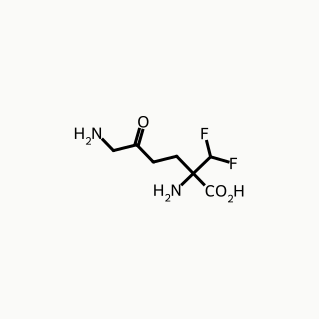 NCC(=O)CCC(N)(C(=O)O)C(F)F